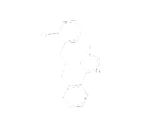 Clc1ccccc1COCc1ccccc1-c1c[nH]cn1